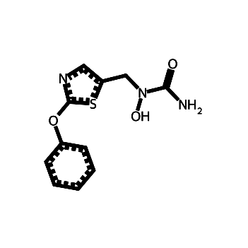 NC(=O)N(O)Cc1cnc(Oc2ccccc2)s1